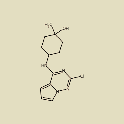 CC1(O)CCC(Nc2nc(Cl)nn3cccc23)CC1